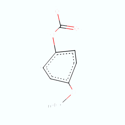 CCCCCCOc1ccc(OC([O])=O)cc1